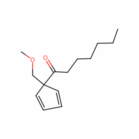 CCCCCCC(=O)C1(COC)C=CC=C1